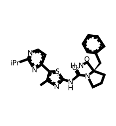 Cc1nc(NC(=O)N2CCC[C@@]2(Cc2ccccc2)C(N)=O)sc1-c1ccnc(C(C)C)n1